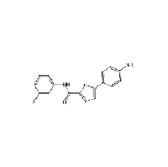 Nc1ccc(-c2ccc(C(=O)Nc3cccc(F)c3)o2)cc1